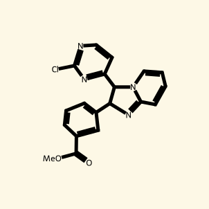 COC(=O)c1cccc(C2N=C3C=CC=CN3C2c2ccnc(Cl)n2)c1